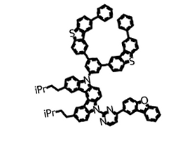 CC(C)CCc1ccc2c(c1)c1c3c4cc(CCC(C)C)ccc4n(-c4nccc(-c5ccc6oc7ccccc7c6c5)n4)c3ccc1n2-c1cc(-c2ccc3sc4ccc(-c5ccccc5)cc4c3c2)cc(-c2ccc3sc4ccc(-c5ccccc5)cc4c3c2)c1